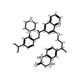 CC(C)c1ccc(CC(C)c2cc(OCCC(C)c3ccc4c(c3)NCC(=O)N4)c3ncccc3c2)c(N2CCOCC2)c1